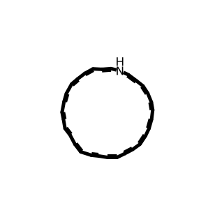 C1=CC=CC=CC=CC=CC=CC=CC=CNC=CC=CC=CC=CC=CC=CC=C1